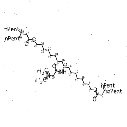 CCCCCC(CCCCC)CC(=O)OCCCCCCCCC(CCCCCCCCOC(=O)CC(CCCCC)CCCCC)NC(=O)CN(C)C